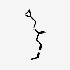 CC=C=CCC(=O)OCC1CO1